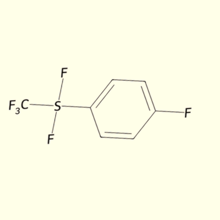 Fc1ccc(S(F)(F)C(F)(F)F)cc1